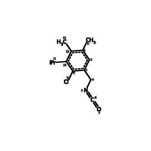 Cc1cc(CN=C=O)c(Cl)c(C(C)C)c1C